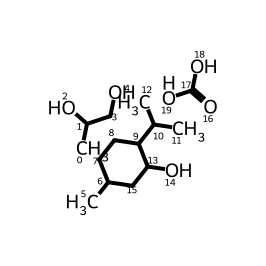 CC(O)CO.CC1CCC(C(C)C)C(O)C1.O=C(O)O